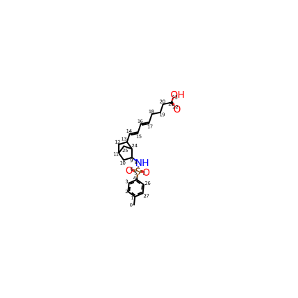 Cc1ccc(S(=O)(=O)NC2CC3CC(C=CC=CCCCC(=O)O)C2C3)cc1